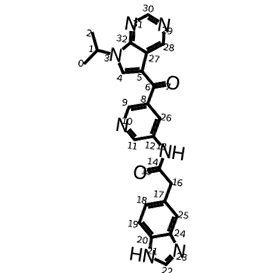 CC(C)n1cc(C(=O)c2cncc(NC(=O)Cc3ccc4[nH]cnc4c3)c2)c2cncnc21